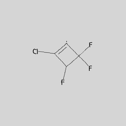 FC1C(Cl)=[C]C1(F)F